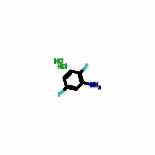 Cl.Cl.Nc1cc(F)ccc1F